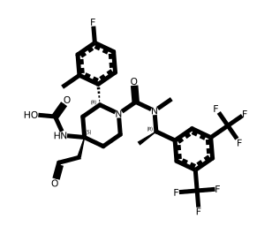 Cc1cc(F)ccc1[C@H]1C[C@@](CC=O)(NC(=O)O)CCN1C(=O)N(C)[C@H](C)c1cc(C(F)(F)F)cc(C(F)(F)F)c1